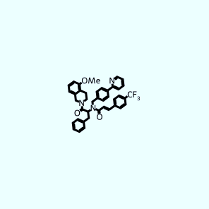 COc1cccc2c1CCN(C(=O)C(Cc1ccccc1)N(Cc1ccc(-c3ccccn3)cc1)C(=O)C=Cc1ccc(C(F)(F)F)cc1)C2